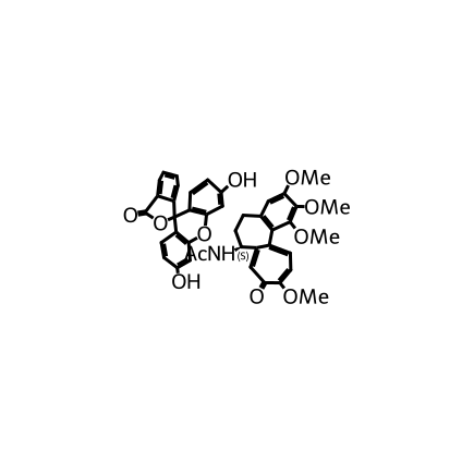 COc1cc2c(c(OC)c1OC)-c1ccc(OC)c(=O)cc1[C@@H](NC(C)=O)CC2.O=C1OC2(c3ccc(O)cc3Oc3cc(O)ccc32)c2ccccc21